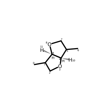 CC1CO[C@@H]2C(C)CO[C@H]12